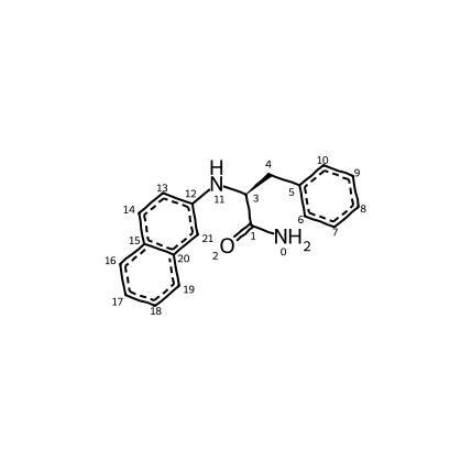 NC(=O)[C@H](Cc1ccccc1)Nc1ccc2ccccc2c1